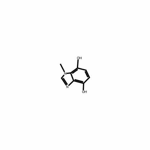 Cn1cnc2c(O)ccc(O)c21